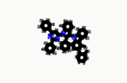 Cc1ccccc1-c1ccc2c(c1C)c1ccccc1n2-c1c(-c2ccccc2)n(-c2cc(-c3ccccc3)nc(-c3ccccc3)n2)c2ccccc12